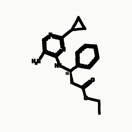 CCOC(=O)C[C@@H](Nc1nc(C2CC2)ncc1N)c1ccccc1